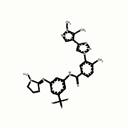 Cc1ccc(C(=O)Nc2cc(/N=C3\CCCN3C)cc(C(F)(F)F)c2)cc1-n1cc(-c2cnn(C)c2C)nn1